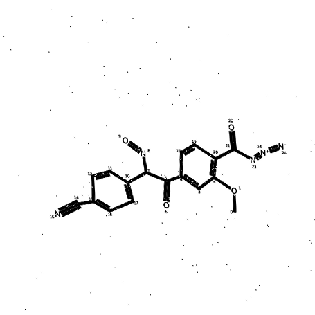 COc1cc(C(=O)C(N=O)c2ccc(C#N)cc2)ccc1C(=O)N=[N+]=[N-]